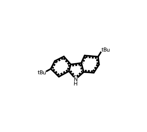 CC(C)(C)c1ccc2c(c1)[nH]c1ccc(C(C)(C)C)cc12